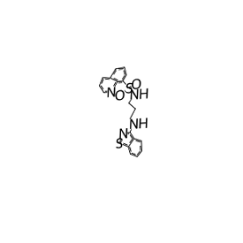 O=S(=O)(NCCCNc1nsc2ccccc12)c1cccc2cccnc12